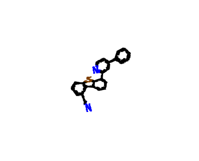 N#Cc1cccc2sc3c(-c4cc(-c5ccccc5)ccn4)cccc3c12